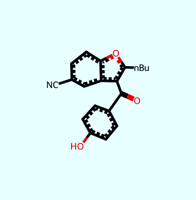 CCCCc1oc2ccc(C#N)cc2c1C(=O)c1ccc(O)cc1